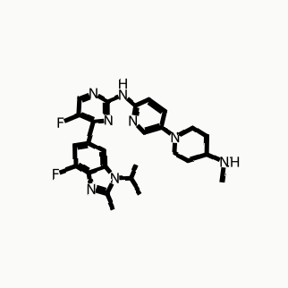 CNC1CCN(c2ccc(Nc3ncc(F)c(-c4cc(F)c5nc(C)n(C(C)C)c5c4)n3)nc2)CC1